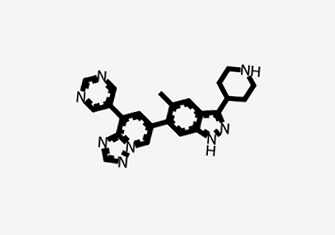 Cc1cc2c(C3CCNCC3)n[nH]c2cc1-c1cc(-c2cncnc2)c2ncnn2c1